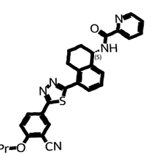 CC(C)Oc1ccc(-c2nnc(-c3cccc4c3CCC[C@@H]4NC(=O)c3ccccn3)s2)cc1C#N